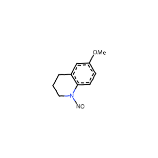 COc1ccc2c(c1)CCCN2N=O